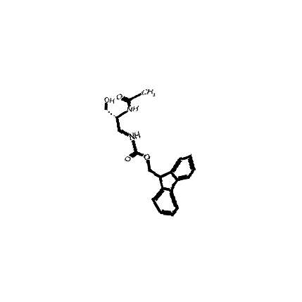 CC(=O)N[C@@H](CO)CNC(=O)OCC1c2ccccc2-c2ccccc21